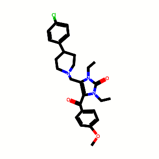 CCn1c(CN2CCC(c3ccc(Cl)cc3)CC2)c(C(=O)c2ccc(OC)cc2)n(CC)c1=O